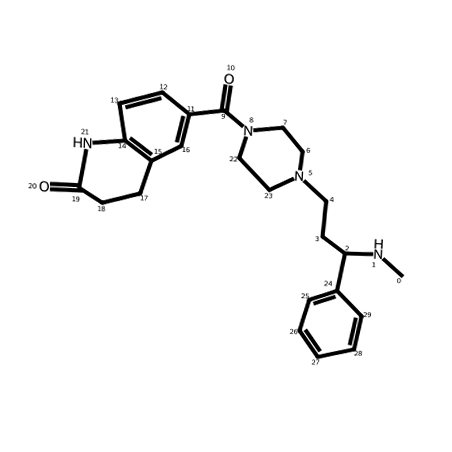 CNC(CCN1CCN(C(=O)c2ccc3c(c2)CCC(=O)N3)CC1)c1ccccc1